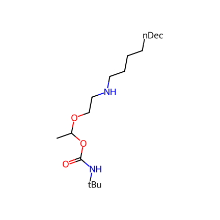 CCCCCCCCCCCCCCNCCOC(C)OC(=O)NC(C)(C)C